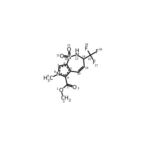 COC(=O)c1c2c(cn1C)S(=O)(=O)NC(C(F)(F)F)C=C2